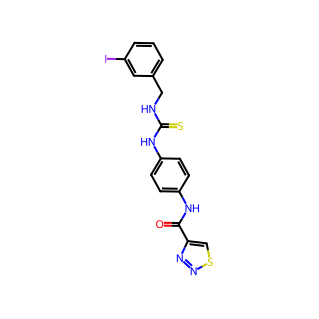 O=C(Nc1ccc(NC(=S)NCc2cccc(I)c2)cc1)c1csnn1